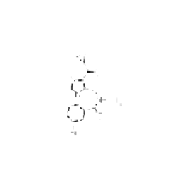 CN1Cc2c(C(=O)C3CC3)ncn2-c2ccc(Br)cc2C1=O